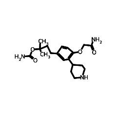 CC(C)(CCc1ccc(OCC(N)=O)c(C2CCNCC2)c1)OC(N)=O